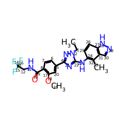 CCn1nc(-c2ccc(C(=O)NCC(F)(F)F)c(OC)c2)nc1Nc1ccc2[nH]ncc2c1C